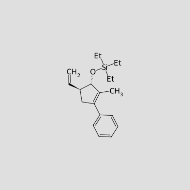 C=C[C@@H]1CC(c2ccccc2)=C(C)[C@H]1O[Si](CC)(CC)CC